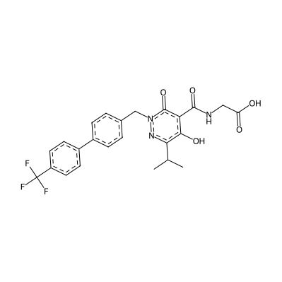 CC(C)c1nn(Cc2ccc(-c3ccc(C(F)(F)F)cc3)cc2)c(=O)c(C(=O)NCC(=O)O)c1O